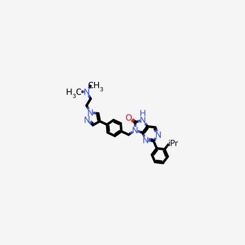 CC(C)c1ccccc1-c1ncc2[nH]c(=O)n(Cc3ccc(-c4cnn(CCN(C)C)c4)cc3)c2n1